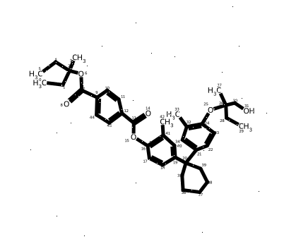 CCC(C)(CC)OC(=O)c1ccc(C(=O)Oc2ccc(C3(c4ccc(OC(C)(CC)CO)c(C)c4)CCCCC3)cc2C)cc1